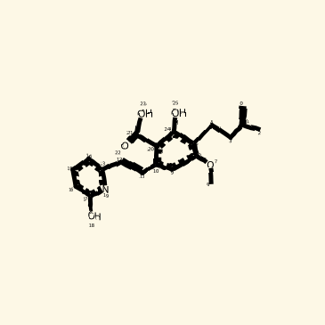 C=C(C)CCc1c(OC)cc(C=Cc2cccc(O)n2)c(C(=O)O)c1O